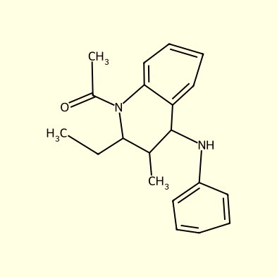 CCC1C(C)C(Nc2ccccc2)c2ccccc2N1C(C)=O